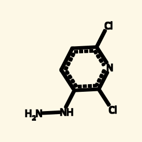 NNc1ccc(Cl)nc1Cl